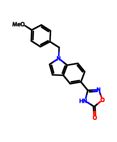 COc1ccc(Cn2ccc3cc(-c4noc(=O)[nH]4)ccc32)cc1